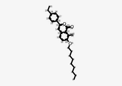 CCCCCCCCCOc1ccc2cc(-c3ccc(CC)cc3)oc(=O)c2c1F